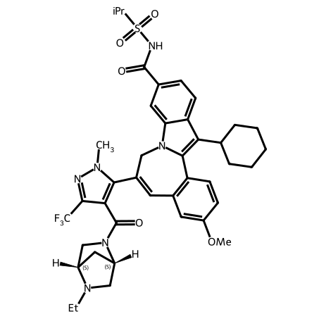 CCN1C[C@@H]2C[C@H]1CN2C(=O)c1c(C(F)(F)F)nn(C)c1C1=Cc2cc(OC)ccc2-c2c(C3CCCCC3)c3ccc(C(=O)NS(=O)(=O)C(C)C)cc3n2C1